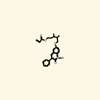 C=CC(=O)OCCC(C)C(C)COc1ccc2c(c1)cc(-c1ccccc1)c(=O)n2C(C)C